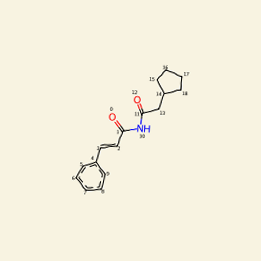 O=C(/C=C/c1ccccc1)NC(=O)CC1CCCC1